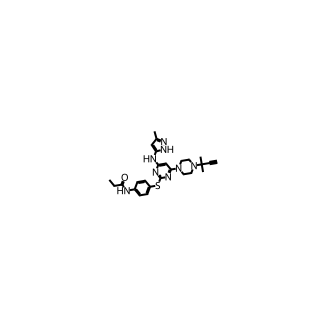 C#CC(C)(C)N1CCN(c2cc(Nc3cc(C)n[nH]3)nc(Sc3ccc(NC(=O)CC)cc3)n2)CC1